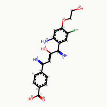 N=C(/C=C(\O)C(=N)c1cc(F)c(OCCO)cc1N)c1ccc(C(=O)O)cc1